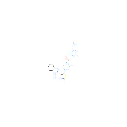 Cc1nc(CN(C)C)nn1CC(=O)N1CCN(c2sc(C(F)(F)F)nc2-c2nc3ccccc3[nH]2)CC1C